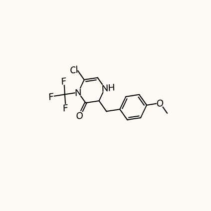 COc1ccc(CC2NC=C(Cl)N(C(F)(F)F)C2=O)cc1